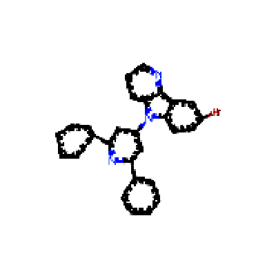 Brc1ccc2c(c1)c1ncccc1n2-c1cc(-c2ccccc2)nc(-c2ccccc2)c1